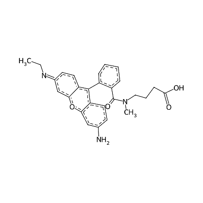 CC/N=c1\ccc2c(-c3ccccc3C(=O)N(C)CCCC(=O)O)c3ccc(N)cc3oc-2c1